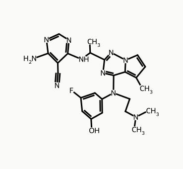 Cc1ccn2nc(C(C)Nc3ncnc(N)c3C#N)nc(N(CCN(C)C)c3cc(O)cc(F)c3)c12